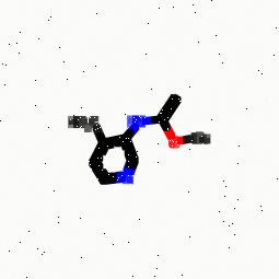 C=C(Nc1cnccc1C(=O)O)OC(C)(C)C